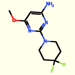 COc1cc(N)nc(N2CCC(F)(F)CC2)n1